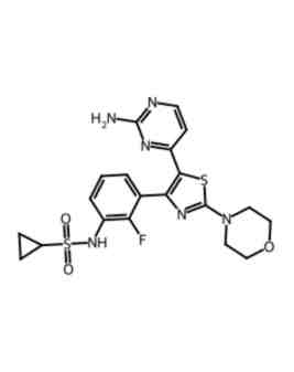 Nc1nccc(-c2sc(N3CCOCC3)nc2-c2cccc(NS(=O)(=O)C3CC3)c2F)n1